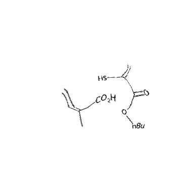 C=C(C)C(=O)O.C=C(S)C(=O)OCCCC